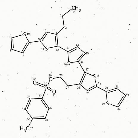 CCCc1cc(-c2cccs2)sc1-c1ccc(-c2sc(-c3cccs3)cc2CCOS(=O)(=O)c2ccc(C)cc2)s1